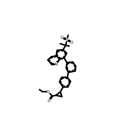 CCOC(=O)C1CC1c1ccc(-c2cccc(-c3cc(C(C)(C)S(C)(=O)=O)cc4cccnc34)c2)cc1